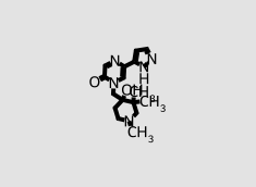 CN1CCC(O)(Cn2cc(-c3ccn[nH]3)ncc2=O)C(C)(C)C1